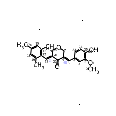 COc1cc(/C=C2\COC/C(=C\c3c(C)cc(C)cc3C)C2=O)ccc1O